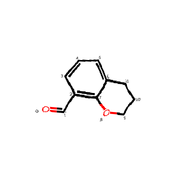 O=[C]c1cccc2c1OCCC2